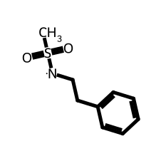 CS(=O)(=O)[N]CCc1ccccc1